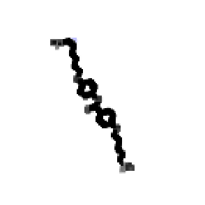 C/C=C\CCCCOc1ccc(OC(=O)c2ccc(OCCCCC[C@@H](C)CC)cc2)cc1